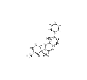 CC1(c2ccc(F)c(NC(=O)c3ccccn3)c2)CCSC(N)=N1